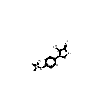 CS(=O)(=O)Sc1ccc(C2=C(Br)C(=O)OC2)cc1